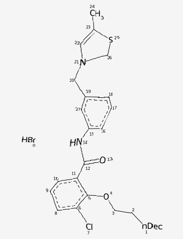 Br.CCCCCCCCCCCCOc1c(Cl)cccc1C(=O)Nc1cccc(CN2C=C(C)SC2)c1